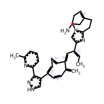 C=C1\C=C/C(c2c[nH]nc2-c2cccc(C)n2)=C/C=C/C1=C/C(=C\C)c1cn2c(n1)CC/C(CCN)=C/CC2